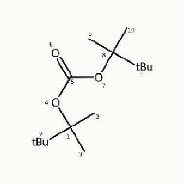 CC(C)(C)C(C)(C)OC(=O)OC(C)(C)C(C)(C)C